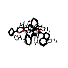 CC1CCCC1C12CCC3(CC1)C1CCC4(C)CCCCC4C1N(C1CCCCC1C1NC(C4CCCC5(C)CCCCC45)N(C)C(C4CCCCC4(C)C)N1)C3C2